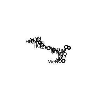 CN[C@@H](C)C(=O)N[C@H](C(=O)N1C[C@@H](NC(=O)c2ccc(N3CCC(CCCOc4cc5ncnc(Nc6n[nH]c(C)c6C)c5cc4S(=O)(=O)C(C)(C)C)CC3)nc2)C[C@H]1C(=O)NCC1CCCc2ccccc21)C1CCCCC1